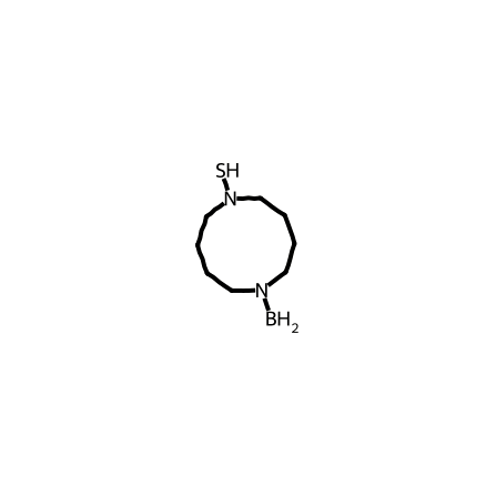 BN1CCCCN(S)CCCC1